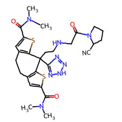 CN(C)C(=O)c1cc2c(s1)C(CCNCC(=O)N1CCCC1C#N)(c1nn[nH]n1)c1sc(C(=O)N(C)C)cc1CC2